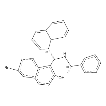 C[C@H](NC(c1c(O)ccc2cc(Br)ccc12)[C@@H]1C=CC=C2C=CC=CC21)c1ccccc1